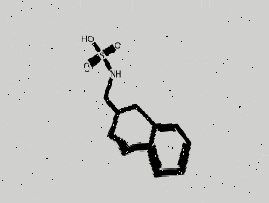 O=S(=O)(O)NCC1CCc2ccccc2C1